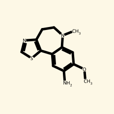 COc1cc2c(cc1N)-c1scnc1CCN2C